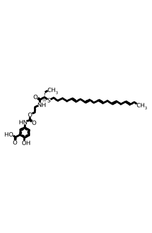 CCC=CCC=CCC=CCC=CCC=CCCCCS[C@@H](CC)C(=O)NCCOC(=O)Nc1ccc(O)c(C(=O)O)c1